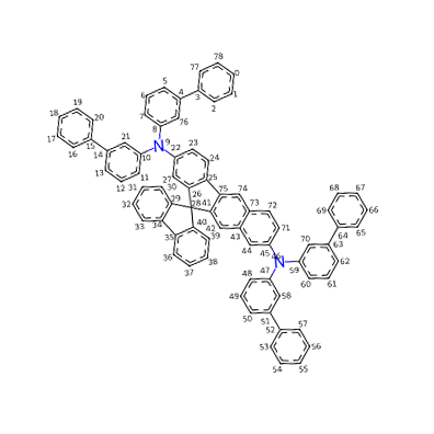 c1ccc(-c2cccc(N(c3cccc(-c4ccccc4)c3)c3ccc4c(c3)C3(c5ccccc5-c5ccccc53)c3cc5cc(N(c6cccc(-c7ccccc7)c6)c6cccc(-c7ccccc7)c6)ccc5cc3-4)c2)cc1